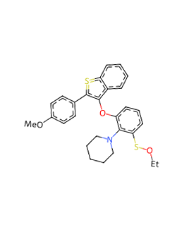 CCOSc1cccc(Oc2c(-c3ccc(OC)cc3)sc3ccccc23)c1N1CCCCC1